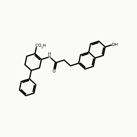 O=C(CCc1ccc2cc(O)ccc2c1)NC1=C(C(=O)O)CCC(c2ccccc2)C1